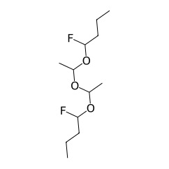 CCCC(F)OC(C)OC(C)OC(F)CCC